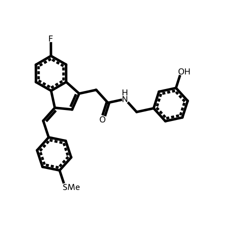 CSc1ccc(/C=C2\C=C(CC(=O)NCc3cccc(O)c3)c3cc(F)ccc32)cc1